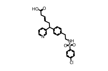 O=C(O)C/C=C/CC(c1ccc(CCNS(=O)(=O)c2ccc(Cl)cc2)cc1)c1cccnc1